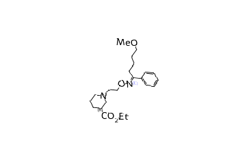 CCOC(=O)[C@@H]1CCCN(CCO/N=C(\CCCCOC)c2ccccc2)C1